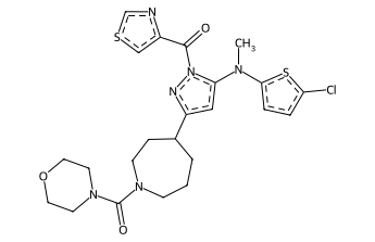 CN(c1ccc(Cl)s1)c1cc(C2CCCN(C(=O)N3CCOCC3)CC2)nn1C(=O)c1cscn1